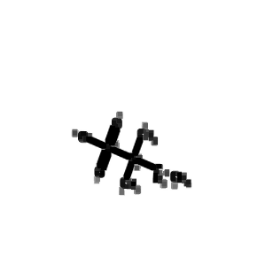 C.C[N+](C)(C)S(=O)(=O)[O-]